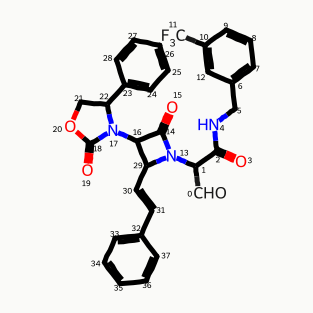 O=CC(C(=O)NCc1cccc(C(F)(F)F)c1)N1C(=O)C(N2C(=O)OCC2c2ccccc2)C1/C=C/c1ccccc1